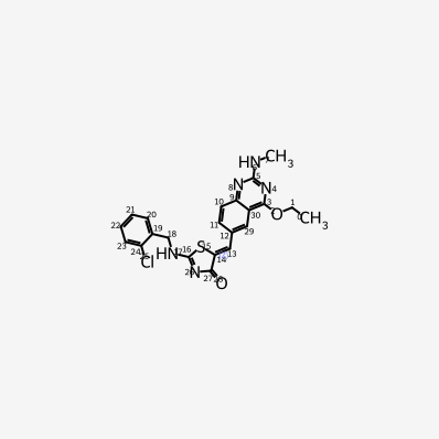 CCOc1nc(NC)nc2ccc(/C=C3\SC(NCc4ccccc4Cl)=NC3=O)cc12